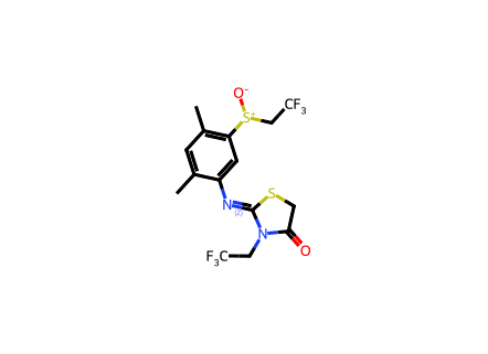 Cc1cc(C)c([S+]([O-])CC(F)(F)F)cc1/N=C1\SCC(=O)N1CC(F)(F)F